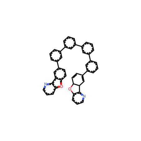 C1=CC2Oc3cccnc3C2C=C1c1cccc(-c2cccc(-c3cccc(-c4cccc(-c5ccc6oc7cccnc7c6c5)c4)c3)c2)c1